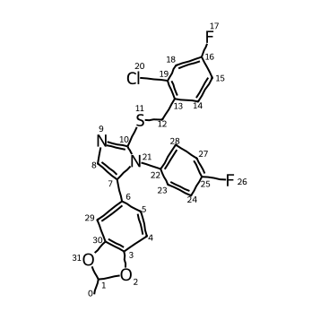 CC1Oc2ccc(-c3cnc(SCc4ccc(F)cc4Cl)n3-c3ccc(F)cc3)cc2O1